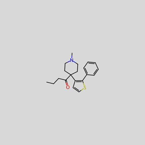 CCCC(=O)C1(c2ccsc2-c2ccccc2)CCN(C)CC1